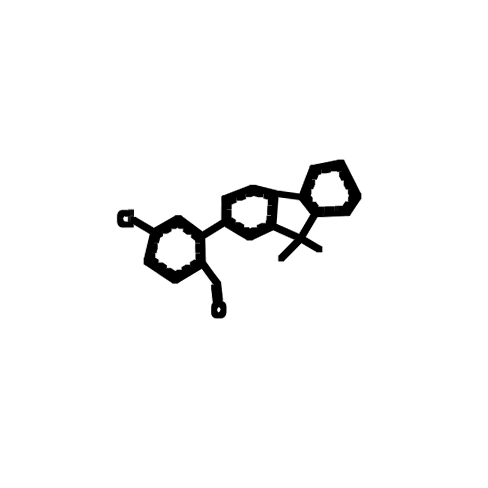 CC1(C)c2ccccc2-c2ccc(-c3cc(Cl)ccc3C=O)cc21